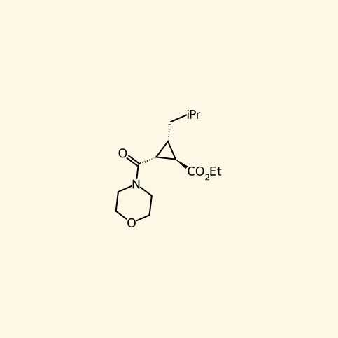 CCOC(=O)[C@@H]1[C@@H](CC(C)C)[C@H]1C(=O)N1CCOCC1